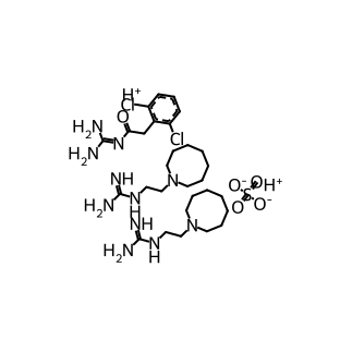 N=C(N)NCCN1CCCCCCC1.N=C(N)NCCN1CCCCCCC1.NC(N)=NC(=O)Cc1c(Cl)cccc1Cl.O=S(=O)([O-])[O-].[H+].[H+]